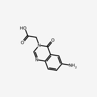 Nc1ccc2ncn(CC(=O)O)c(=O)c2c1